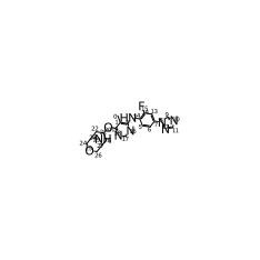 Cc1c(Nc2ccc(-n3cncn3)cc2F)ncnc1OC1CC2COCC(C1)N2